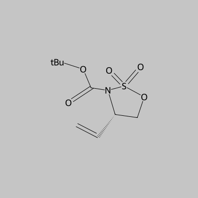 C=C[C@H]1COS(=O)(=O)N1C(=O)OC(C)(C)C